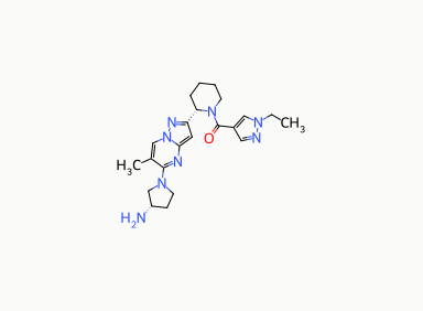 CCn1cc(C(=O)N2CCCC[C@H]2c2cc3nc(N4CC[C@H](N)C4)c(C)cn3n2)cn1